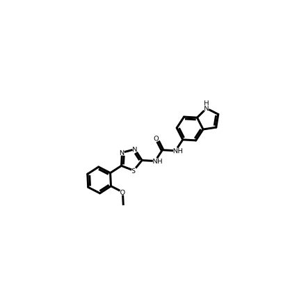 COc1ccccc1-c1nnc(NC(=O)Nc2ccc3[nH]ccc3c2)s1